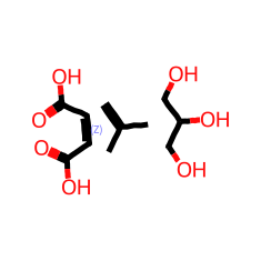 C=C(C)C.O=C(O)/C=C\C(=O)O.OCC(O)CO